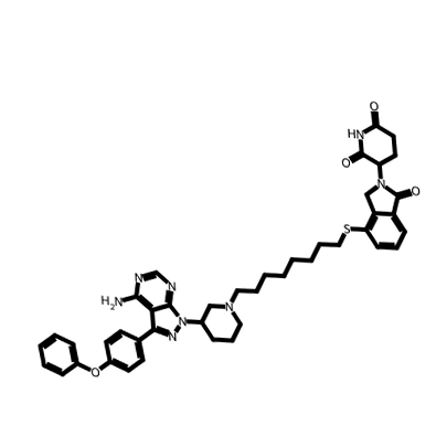 Nc1ncnc2c1c(-c1ccc(Oc3ccccc3)cc1)nn2C1CCCN(CCCCCCCCSc2cccc3c2CN(C2CCC(=O)NC2=O)C3=O)C1